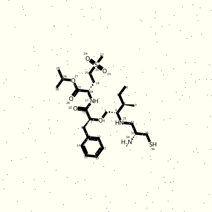 CC[C@@H](C)[C@@H](CO[C@@H](Cc1ccccc1)C(=O)N[C@@H](CCS(C)(=O)=O)C(=O)OC(C)C)NC[C@@H](N)CS